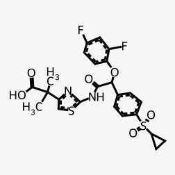 CC(C)(C(=O)O)c1csc(NC(=O)C(Oc2ccc(F)cc2F)c2ccc(S(=O)(=O)C3CC3)cc2)n1